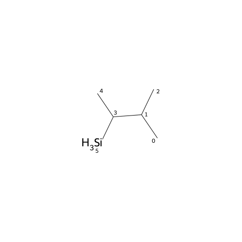 CC(C)C(C)[SiH3]